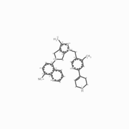 Cc1cc(C2=CCNCC2)ncc1Cn1nc(C)c2c1CN(c1ccc(C#N)c3ncccc13)C2